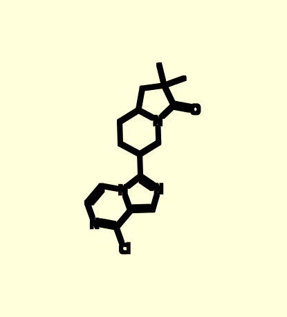 CC1(C)CC2CCC(c3ncc4c(Cl)nccn34)CN2C1=O